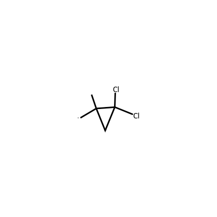 [CH2]C1(C)CC1(Cl)Cl